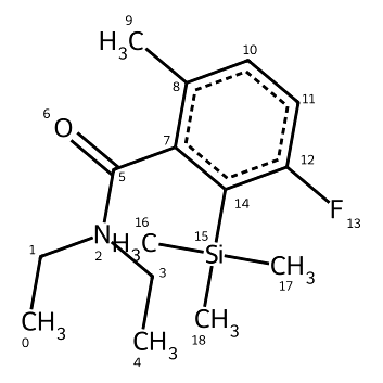 CCN(CC)C(=O)c1c(C)ccc(F)c1[Si](C)(C)C